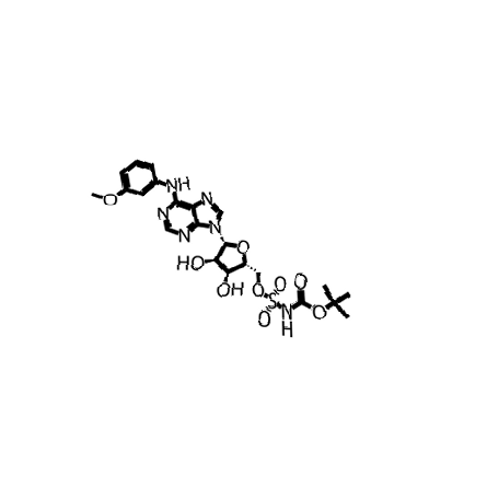 COc1cccc(Nc2ncnc3c2ncn3[C@@H]2O[C@H](COS(=O)(=O)NC(=O)OC(C)(C)C)[C@@H](O)[C@H]2O)c1